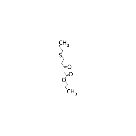 CCCOC(=O)CC(=O)CCSCCC